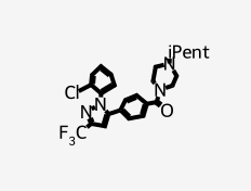 CCCC(C)N1CCN(C(=O)c2ccc(-c3cc(C(F)(F)F)nn3-c3ccccc3Cl)cc2)CC1